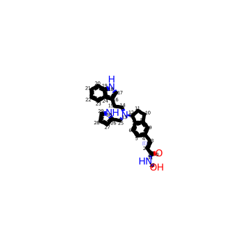 O=C(/C=C/c1ccc2c(c1)CC[C@@H]2N(CCc1c[nH]c2ccccc12)Cc1ccc[nH]1)NO